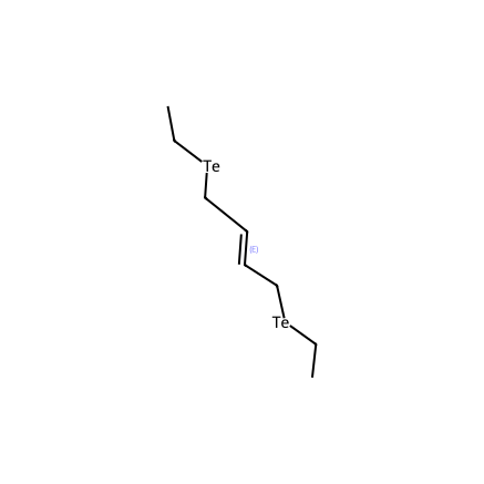 CC[Te]C/C=C/C[Te]CC